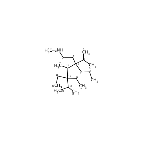 CCCC(CCNC)(C(C)C)C(C)C(CC)(CC)C(C)C